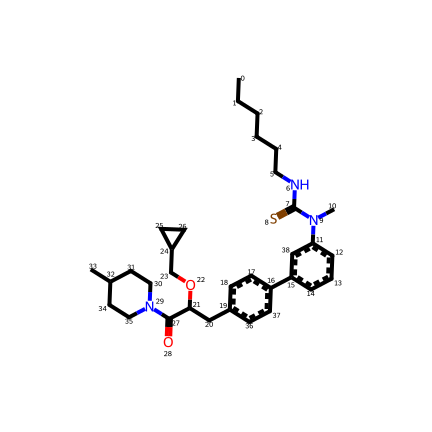 CCCCCCNC(=S)N(C)c1cccc(-c2ccc(CC(OCC3CC3)C(=O)N3CCC(C)CC3)cc2)c1